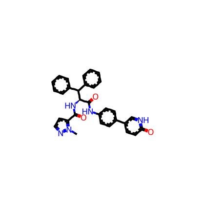 Cn1nccc1C(=O)N[C@H](C(=O)Nc1ccc(-c2ccc(=O)[nH]c2)cc1)C(c1ccccc1)c1ccccc1